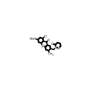 CSc1cc(Cl)c(C(=O)c2ccc(C)c(Cn3ncccc3=O)c2)c(SC)c1